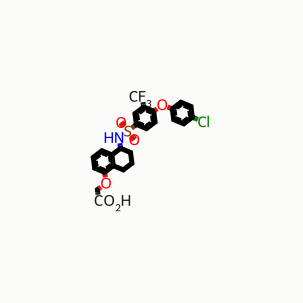 O=C(O)COc1cccc2c1CCCC2NS(=O)(=O)c1ccc(Oc2ccc(Cl)cc2)c(C(F)(F)F)c1